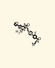 CN(C)CCN(C)C(=O)c1ccc(N2CCN(CCn3c(=O)n(C)c4c3nc(N)n3nc(-c5ccco5)cc43)CC2)c(F)c1